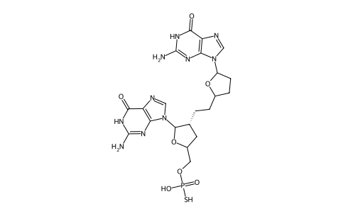 Nc1nc2c(ncn2C2CCC(CC[C@@H]3CC(COP(=O)(O)S)OC3n3cnc4c(=O)[nH]c(N)nc43)O2)c(=O)[nH]1